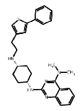 CN(C)c1nc(N[C@H]2CC[C@@H](NCCc3csc(-c4ccccc4)c3)CC2)nc2ccccc12